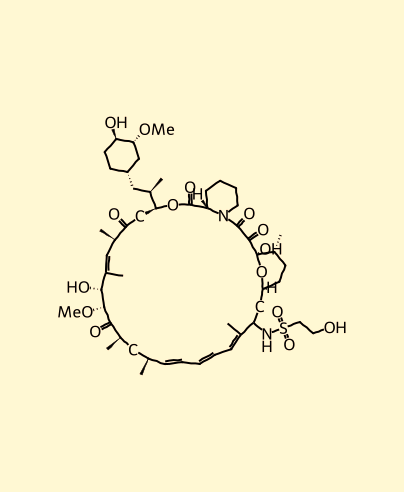 CO[C@@H]1C[C@H](C[C@@H](C)[C@@H]2CC(=O)[C@H](C)/C=C(\C)[C@@H](O)[C@@H](OC)C(=O)[C@H](C)C[C@H](C)/C=C/C=C/C=C(\C)C(NS(=O)(=O)CCO)C[C@@H]3CC[C@@H](C)[C@@](O)(O3)C(=O)C(=O)N3CCCC[C@H]3C(=O)O2)CC[C@H]1O